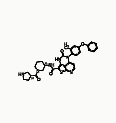 Cc1cc(Oc2ccccc2)ccc1N1C(=O)Nc2c(C(=O)N[C@@H]3CCCN(C(=O)[C@H]4CCNC4)C3)sc3nccc1c23